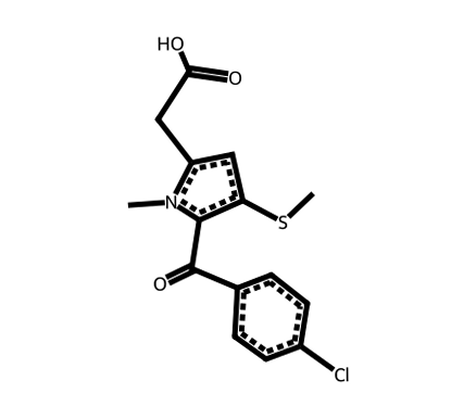 CSc1cc(CC(=O)O)n(C)c1C(=O)c1ccc(Cl)cc1